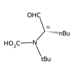 CCCC[C@@H](C=O)N(C(=O)O)C(C)(C)C